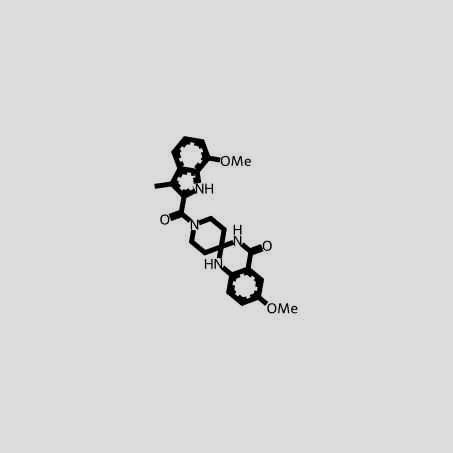 COc1ccc2c(c1)C(=O)NC1(CCN(C(=O)c3[nH]c4c(OC)cccc4c3C)CC1)N2